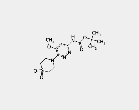 COc1cc(NC(=O)OC(C)(C)C)nnc1N1CCS(=O)(=O)CC1